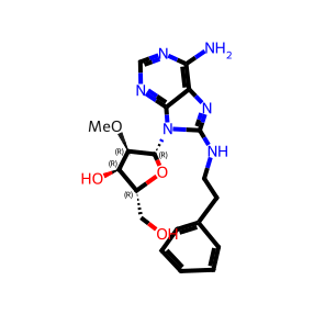 CO[C@@H]1[C@H](O)[C@@H](CO)O[C@H]1n1c(NCCc2ccccc2)nc2c(N)ncnc21